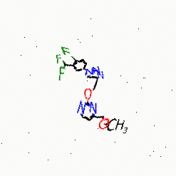 COCc1ccnc(OCc2cn(-c3ccc(F)c(C(F)F)c3)nn2)n1